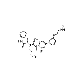 CCNCCOc1cccc(-c2cc(C(C)C)c(NC(=O)N(CCCC(C)C)c3cc4cccnc4[nH]c3=O)c(C(C)C)c2)c1